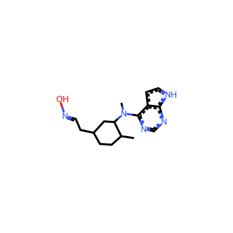 CC1CCC(CC=NO)CC1N(C)c1ncnc2[nH]ccc12